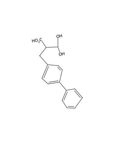 O=C(O)C(Cc1ccc(-c2ccccc2)cc1)C(O)O